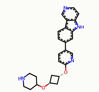 c1cc2[nH]c3cc(-c4ccc(O[C@H]5C[C@H](OC6CCNCC6)C5)nc4)ccc3c2cn1